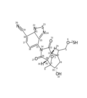 CC12OC(CCOS)(C[C@@H]1O)[C@H]1C(=O)N(c3ccc(C#N)c4nsnc34)C(=O)[C@H]12